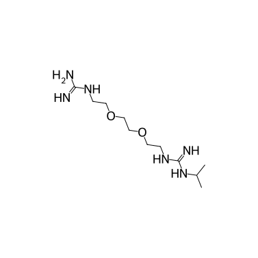 CC(C)NC(=N)NCCOCCOCCNC(=N)N